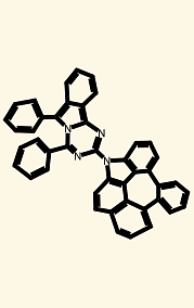 c1ccc(-c2nc(-n3c4cccc5c4c4c6c(cccc6ccc43)-c3ccccc3-5)nc3c4ccccc4c(-c4ccccc4)n23)cc1